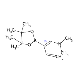 C=C/C(=C\N(C)C)B1OC(C)(C)C(C)(C)O1